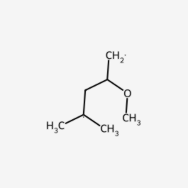 [CH2]C(C[C](C)C)OC